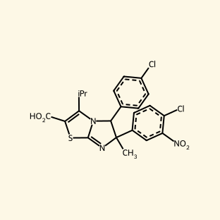 CC(C)C1=C(C(=O)O)SC2=NC(C)(c3ccc(Cl)c([N+](=O)[O-])c3)C(c3ccc(Cl)cc3)N21